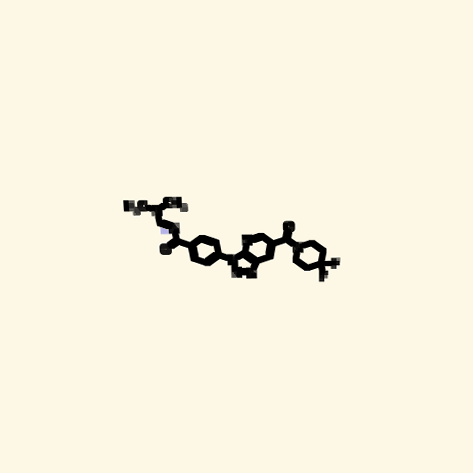 CN(C)/C=N/C(=O)c1ccc(-n2nnc3cc(C(=O)N4CCC(F)(F)CC4)cnc32)cc1